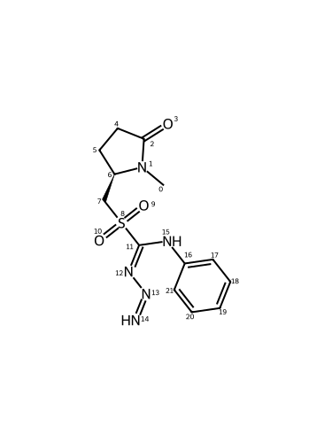 CN1C(=O)CC[C@@H]1CS(=O)(=O)/C(=N/N=N)Nc1ccccc1